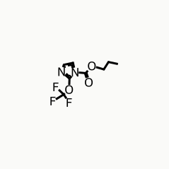 CCCOC(=O)n1ccnc1OC(F)(F)F